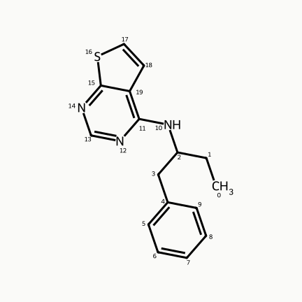 CCC(Cc1ccccc1)Nc1ncnc2sccc12